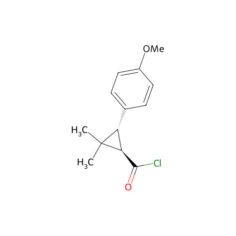 COc1ccc([C@@H]2[C@@H](C(=O)Cl)C2(C)C)cc1